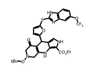 CCOC(=O)c1[nH]cc2c1NC1=C(C(=O)CN(OC(C)(C)C)C1)C2c1ccc(Sc2nc3cc(OC(F)(F)F)ccc3[nH]2)o1